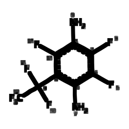 Nc1c(F)c(F)c(N)c(C(F)(F)C(F)(F)F)c1F